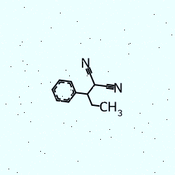 CCC(c1ccccc1)C(C#N)C#N